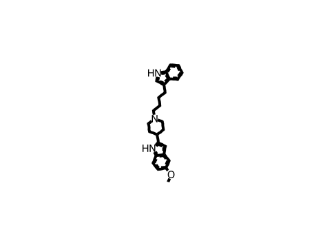 COc1ccc2[nH]c(C3CCN(CCCCc4c[nH]c5ccccc45)CC3)cc2c1